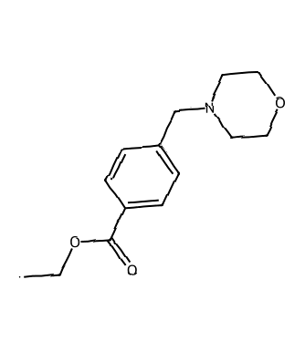 [CH2]COC(=O)c1ccc(CN2CCOCC2)cc1